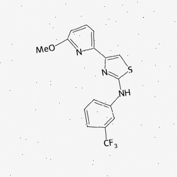 COc1cccc(-c2csc(Nc3cccc(C(F)(F)F)c3)n2)n1